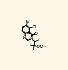 COC(C)(C)C(F)n1cnc2ccc(Br)c(Cl)c2c1=O